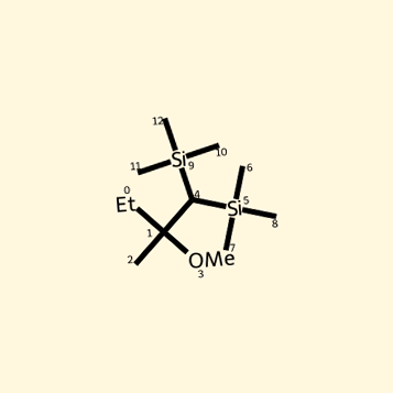 CCC(C)(OC)C([Si](C)(C)C)[Si](C)(C)C